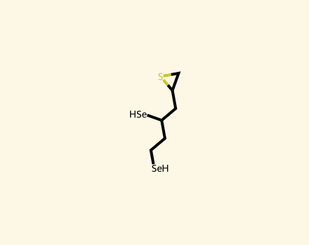 [SeH]CCC([SeH])CC1CS1